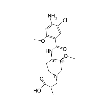 COc1cc(N)c(Cl)cc1C(=O)N[C@@H]1CCN(CC(C)C(=O)O)C[C@@H]1OC